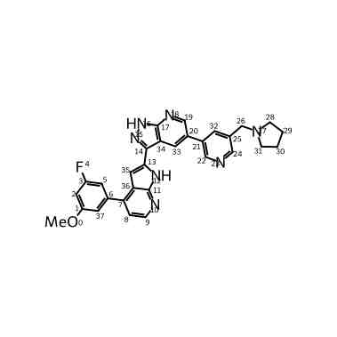 COc1cc(F)cc(-c2ccnc3[nH]c(-c4n[nH]c5ncc(-c6cncc(CN7CCCC7)c6)cc45)cc23)c1